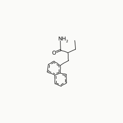 CCC(Cc1cccc2ccccc12)C(N)=O